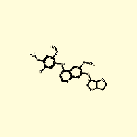 COc1cc(OC)c(Nc2ncnc3cc(O[C@@H]4COC5CCOC54)c(OC)cc23)cc1Cl